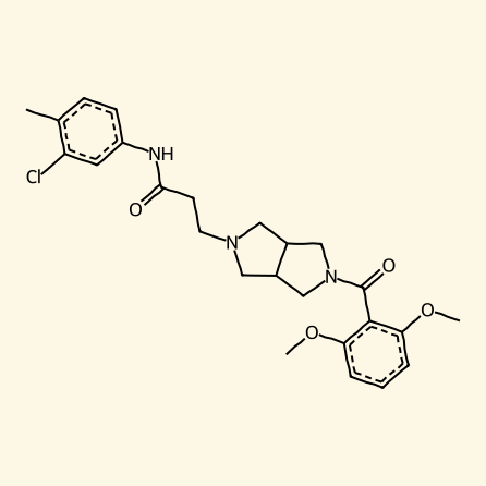 COc1cccc(OC)c1C(=O)N1CC2CN(CCC(=O)Nc3ccc(C)c(Cl)c3)CC2C1